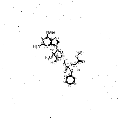 CNc1nc(N)nc2c1ncn2[C@@H]1O[C@H](CO[P@@](=O)(N[C@@H](C)C(=O)OC(C)C)Oc2ccccc2)[C@@H](O)[C@]1(F)C(F)(F)F